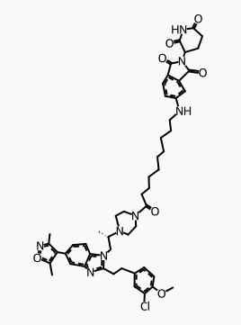 COc1ccc(CCc2nc3cc(-c4c(C)noc4C)ccc3n2C[C@H](C)N2CCN(C(=O)CCCCCCCCCNc3ccc4c(c3)C(=O)N(C3CCC(=O)NC3=O)C4=O)CC2)cc1Cl